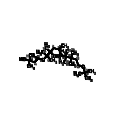 CC(CC(C)(C)C(C)(C)OCCC(C)(C)O)OC(C)(C)C(C)(C)CCOC(C)(C)C